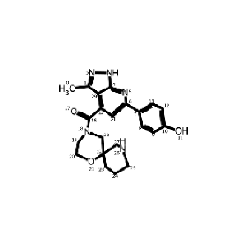 Cc1n[nH]c2nc(-c3ccc(O)cc3)cc(C(=O)N3CCOC4(CCCNC4)C3)c12